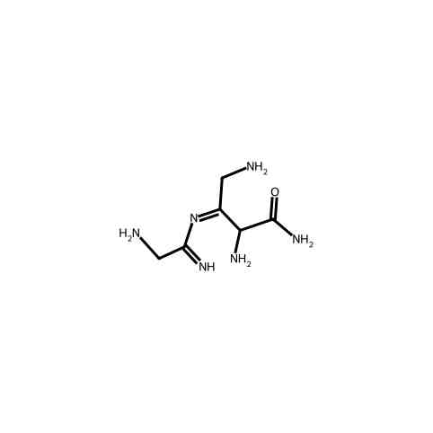 N=C(CN)N=C(CN)C(N)C(N)=O